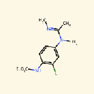 CCOC(=O)Nc1ccc(N(C)C(C)=NC)cc1Cl